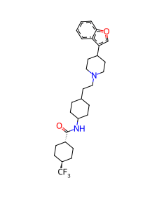 O=C(NC1CCC(CCN2CCC(c3coc4ccccc34)CC2)CC1)[C@H]1CC[C@H](C(F)(F)F)CC1